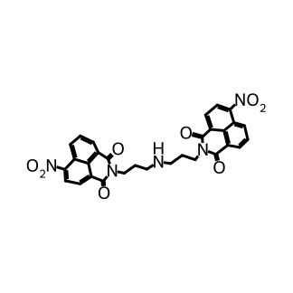 O=C1c2cccc3c([N+](=O)[O-])ccc(c23)C(=O)N1CCCNCCCN1C(=O)c2cccc3c([N+](=O)[O-])ccc(c23)C1=O